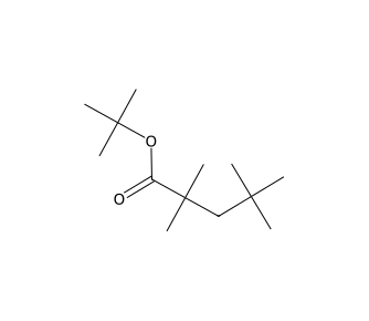 CC(C)(C)CC(C)(C)C(=O)OC(C)(C)C